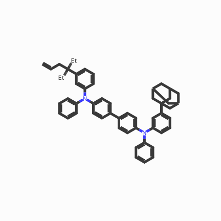 C=CCC(CC)(CC)c1cccc(N(c2ccccc2)c2ccc(-c3ccc(N(c4ccccc4)c4cccc(C56CC7CC(CC(C7)C5)C6)c4)cc3)cc2)c1